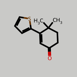 CC1(C)CCC(=O)C=C1c1cccs1